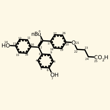 CCCCC(=C(c1ccc(O)cc1)c1ccc(O)cc1)c1ccc(OCCCC(=O)O)cc1